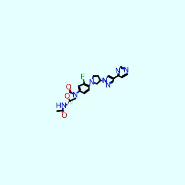 CC(=O)NC[C@H]1CN(c2ccc(N3CC[C@H](n4cc(-c5ccncn5)cn4)C3)c(F)c2)C(=O)O1